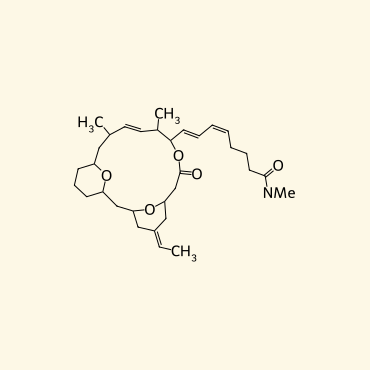 C/C=C1\CC2CC(=O)OC(/C=C/C=C\CCCC(=O)NC)C(C)/C=C/C(C)CC3CCCC(CC(C1)O2)O3